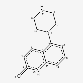 O=c1ccc2c(N3CCNCC3)cccc2[nH]1